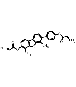 C=CC(=O)Oc1ccc(-c2ccc3c(sc4c(C)c(OC(=O)C=C)ccc43)c2C)cc1